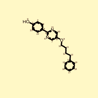 Oc1ccc(-c2ncc(OCCCCc3ccccc3)cn2)cc1